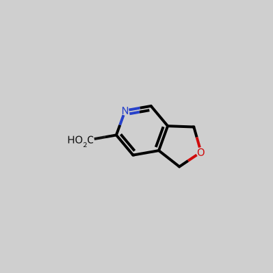 O=C(O)c1cc2c(cn1)COC2